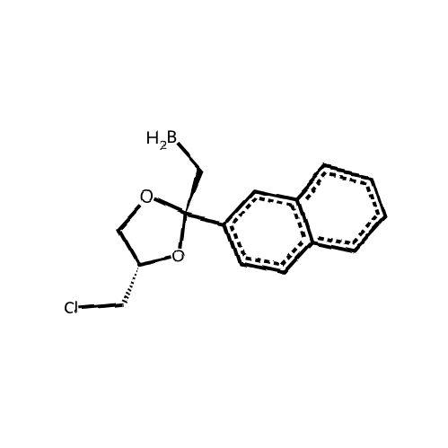 BC[C@]1(c2ccc3ccccc3c2)OC[C@@H](CCl)O1